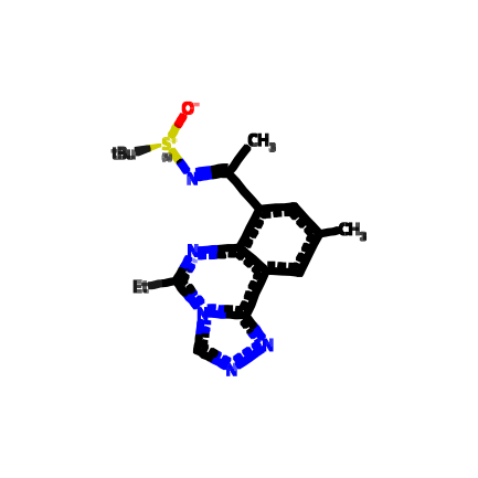 CCc1nc2c(C(C)=N[S@+]([O-])C(C)(C)C)cc(C)cc2c2nncn12